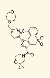 Cc1cccc2c1-c1c(c(C(=O)N3CCOC4(CC4)C3)nn1-c1ccc(CN3CCOCC3)cc1)CS2(=O)=O